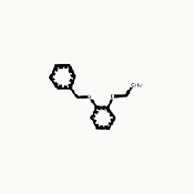 O=CCOc1ccccc1OCc1ccccc1